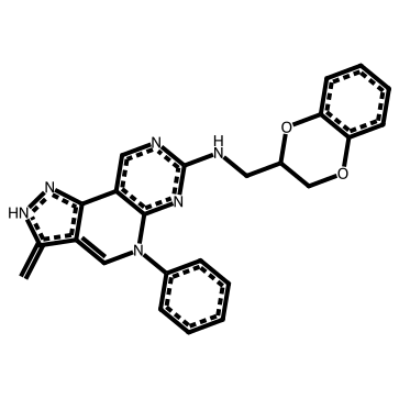 C=c1[nH]nc2c1=CN(c1ccccc1)c1nc(NCC3COc4ccccc4O3)ncc1-2